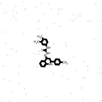 Cc1ccc(C2CC(=NNC(=O)Nc3ccc(C)c(C)c3)c3ccccc3N2)cc1